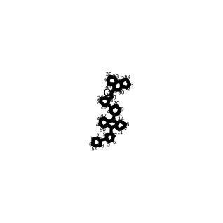 c1ccc(-c2cccc(-c3c4ccccc4c(-c4cccc(-c5cccc6oc(-c7cc8ccccc8c8ccccc78)cc56)c4)c4ccccc34)c2)cc1